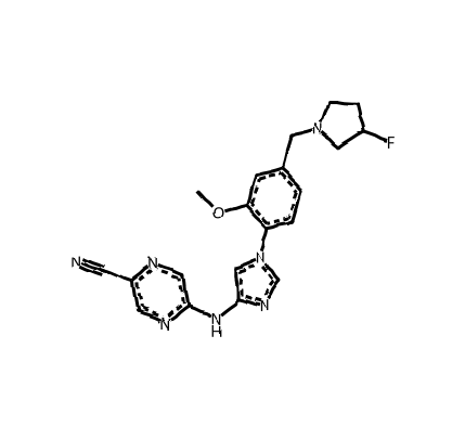 COc1cc(CN2CCC(F)C2)ccc1-n1cnc(Nc2cnc(C#N)cn2)c1